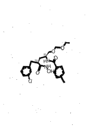 CCOCOC[C@H](C[C@H](Cc1cccc(Cl)c1)C(=O)NO)NC(=O)c1ccc(C)cc1